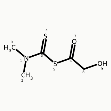 CN(C)C(=S)SC(=O)CO